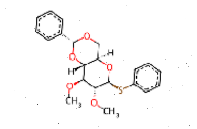 CO[C@@H]1[C@@H](OC)[C@H](Sc2ccccc2)O[C@@H]2CO[C@@H](c3ccccc3)O[C@@H]12